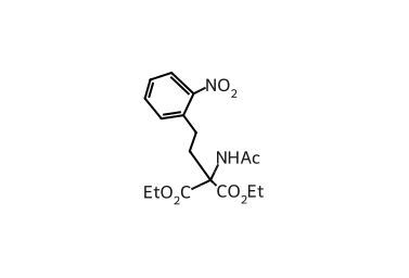 CCOC(=O)C(CCc1ccccc1[N+](=O)[O-])(NC(C)=O)C(=O)OCC